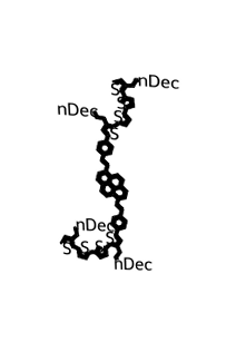 CCCCCCCCCCCCc1ccsc1-c1ccc(-c2ccc(-c3sc(-c4ccc(/C=C/c5ccc6ccc7c(/C=C/c8ccc(-c9cc(CCCCCCCCCCCC)c(-c%10ccc(-c%11ccc(-c%12sccc%12CCCCCCCCCCCC)s%11)s%10)s9)cc8)ccc8ccc5c6c87)cc4)cc3CCCCCCCCCCCC)s2)s1